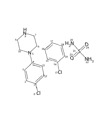 Clc1ccc(N2CCNCC2)cc1.Clc1ccccc1.NS(N)(=O)=O